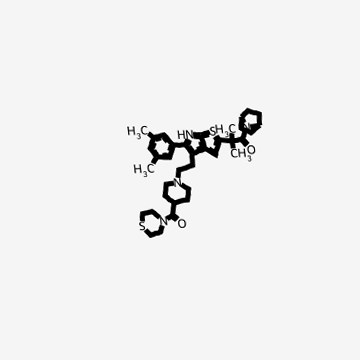 Cc1cc(C)cc(-c2[nH]c3sc(C(C)(C)C(=O)N4C5CCC4CC5)cc3c2CCN2CCC(C(=O)N3CCSCC3)CC2)c1